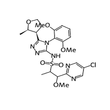 COc1cccc(OC)c1-n1c(NS(=O)(=O)C(C)C(OC)c2ncc(Cl)cn2)nnc1[C@@H]1CCO[C@@H]1C